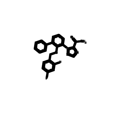 NC(=O)c1ncnn1-c1cccc(-c2ccccc2)c1OCc1ccc(F)cc1F